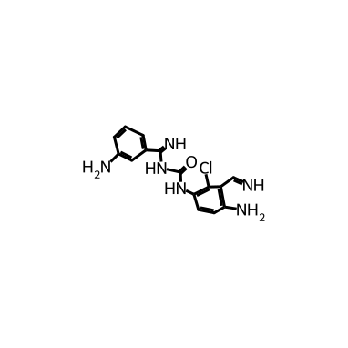 N=Cc1c(N)ccc(NC(=O)NC(=N)c2cccc(N)c2)c1Cl